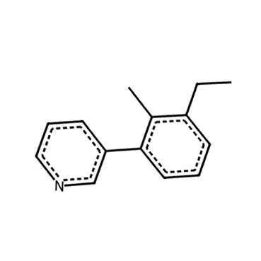 CCc1cccc(-c2cccnc2)c1C